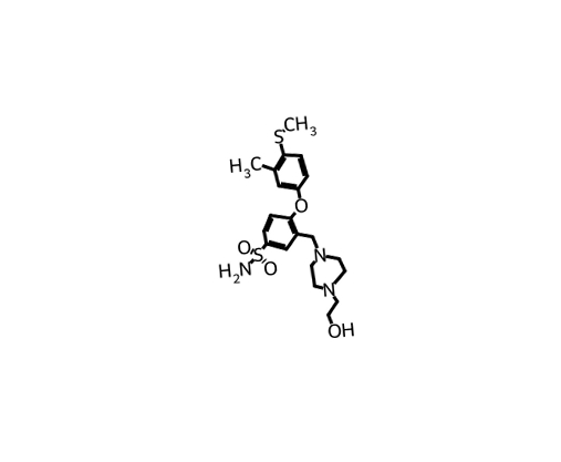 CSc1ccc(Oc2ccc(S(N)(=O)=O)cc2CN2CCN(CCO)CC2)cc1C